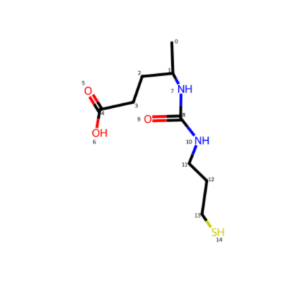 CC(CCC(=O)O)NC(=O)NCCCS